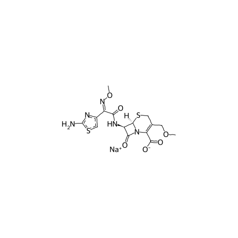 COCC1=C(C(=O)[O-])N2C(=O)[C@@H](NC(=O)/C(=N\OC)c3csc(N)n3)[C@H]2SC1.[Na+]